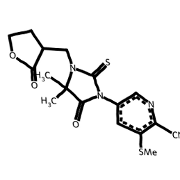 CSc1cc(N2C(=O)C(C)(C)N(CC3CCOC3=O)C2=S)cnc1C#N